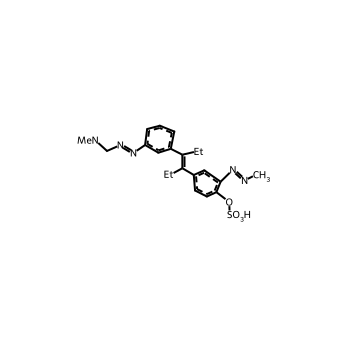 CC/C(=C(/CC)c1ccc(OS(=O)(=O)O)c(N=NC)c1)c1cccc(N=NCNC)c1